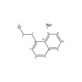 [Na+].[O-]CCc1cccc2ccccc12